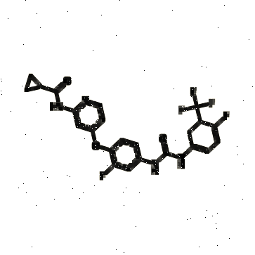 O=C(NC1=CC=C(F)C(C(F)(F)F)C1)Nc1ccc(Oc2ccnc(NC(=O)C3CC3)c2)c(F)c1